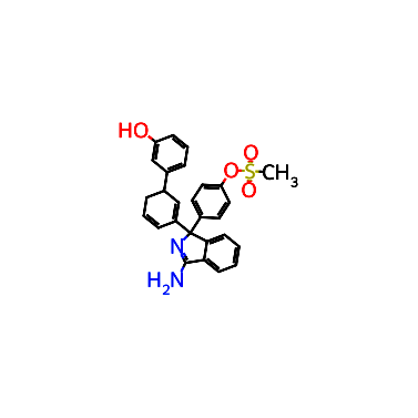 CS(=O)(=O)Oc1ccc(C2(C3=CC(c4cccc(O)c4)CC=C3)N=C(N)c3ccccc32)cc1